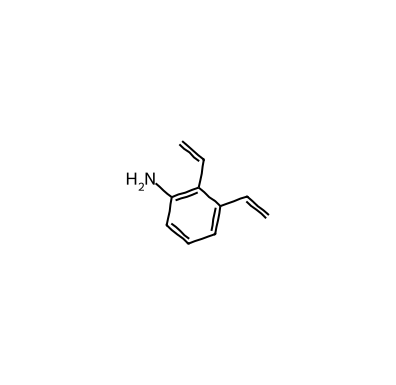 C=Cc1cccc(N)c1C=C